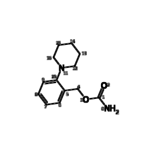 NC(=O)OCc1ccccc1N1CCCCC1